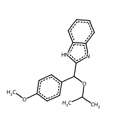 COc1ccc(C(OC(C)C)c2nc3ccccc3[nH]2)cc1